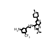 CN1CCC(c2cc3c(NCCc4cc(N)cc(C(F)(F)F)c4)nc(N(C)C)nc3cn2)CC1